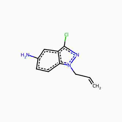 C=CCn1nc(Cl)c2cc(N)ccc21